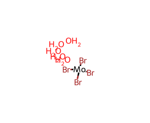 O.O.O.O.O.[Br][Mo]([Br])([Br])[Br]